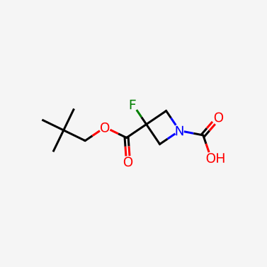 CC(C)(C)COC(=O)C1(F)CN(C(=O)O)C1